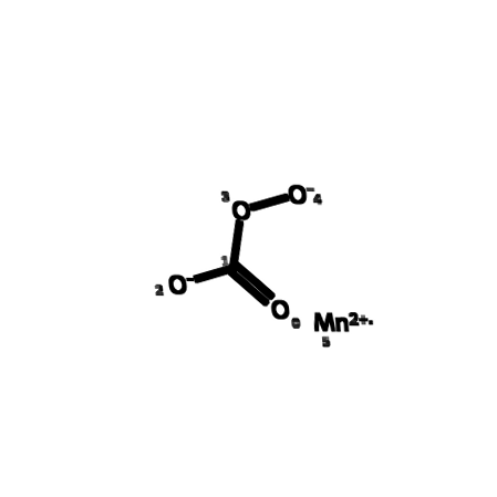 O=C([O-])O[O-].[Mn+2]